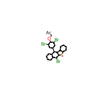 CC(=O)COc1c(Br)cc(-c2c3ccccc3c(Br)c3sc4ccccc4c23)cc1Br